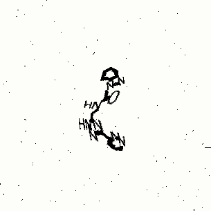 O=C(Cn1cnc2ccccc21)NCCc1nc(-c2cccnn2)n[nH]1